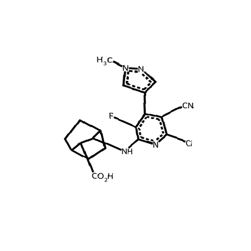 Cn1cc(-c2c(F)c(NC3C4CCC(CC4)C3C(=O)O)nc(Cl)c2C#N)cn1